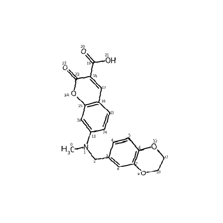 CN(Cc1ccc2c(c1)OCCO2)c1ccc2cc(C(=O)O)c(=O)oc2c1